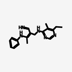 CCc1ncnc(NC/C(C=N)=C(\C)Nc2ccccc2)c1C